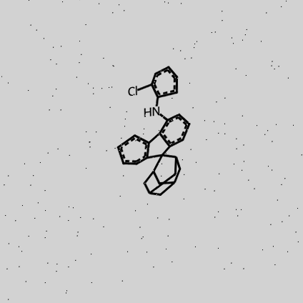 Clc1ccccc1Nc1cccc2c1-c1ccccc1C21C2CC3CC(C2)CC1C3